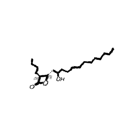 CCCCCCCCCCCC(O)C[C@@H]1OC(=O)[C@H]1CCCC